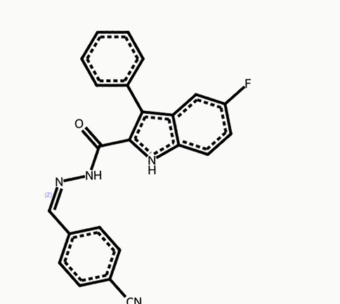 N#Cc1ccc(/C=N\NC(=O)c2[nH]c3ccc(F)cc3c2-c2ccccc2)cc1